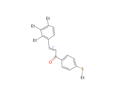 CCSc1ccc(C(=O)/C=C/c2ccc(CC)c(CC)c2CC)cc1